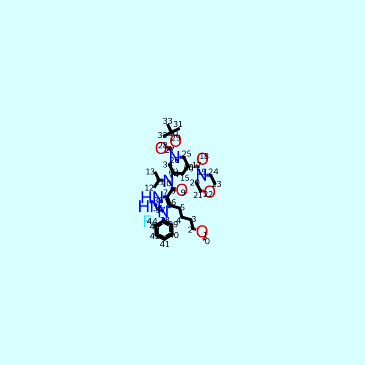 COCCCCC1=C(C(=O)N(C(C)C)[C@H]2C[C@@H](C(=O)N3CCOCC3)CN(C(=O)OC(C)(C)C)C2)NNN1c1ccccc1F